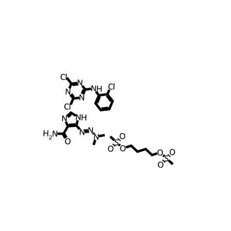 CN(C)/N=N/c1[nH]cnc1C(N)=O.CS(=O)(=O)OCCCCOS(C)(=O)=O.Clc1nc(Cl)nc(Nc2ccccc2Cl)n1